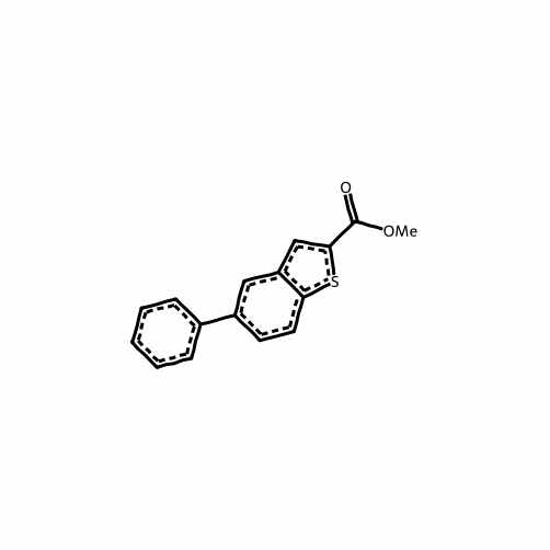 COC(=O)c1cc2cc(-c3ccccc3)ccc2s1